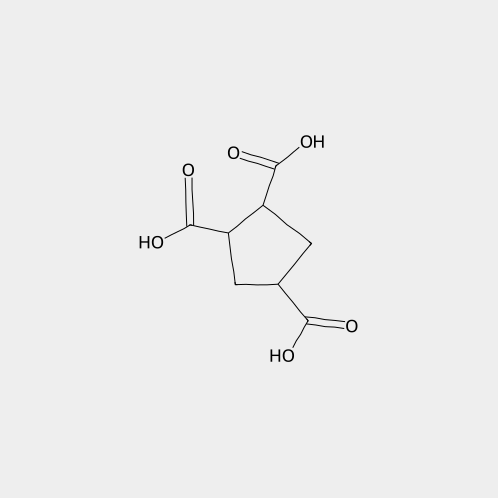 O=C(O)C1CC(C(=O)O)C(C(=O)O)C1